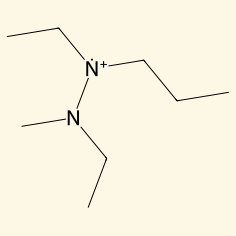 CCC[N+](CC)N(C)CC